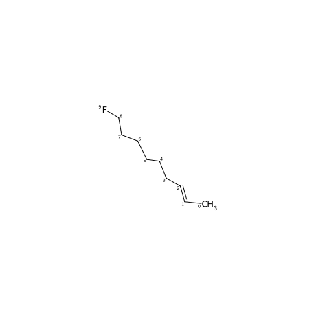 CC=CCCCCCCF